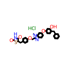 Cl.Cn1c(COc2ccc(CC3SC(=O)NC3=O)cc2)nc2ccc(Oc3ccc(Cc4ccccc4)c(O)c3)cc21